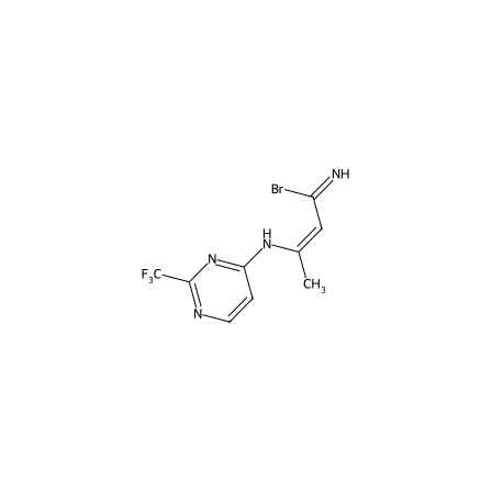 C/C(=C/C(=N)Br)Nc1ccnc(C(F)(F)F)n1